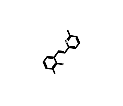 Cc1cccc(C=Cc2cccc(F)c2F)n1